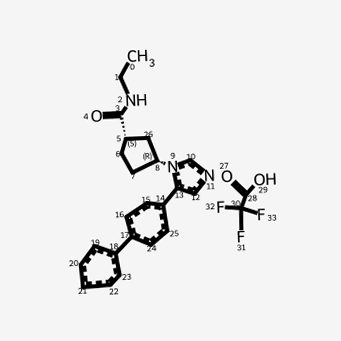 CCNC(=O)[C@H]1CC[C@@H](n2cncc2-c2ccc(-c3ccccc3)cc2)C1.O=C(O)C(F)(F)F